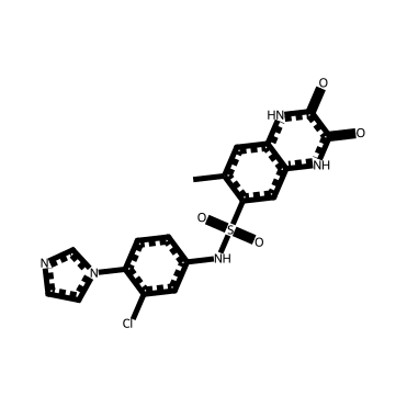 Cc1cc2[nH]c(=O)c(=O)[nH]c2cc1S(=O)(=O)Nc1ccc(-n2ccnc2)c(Cl)c1